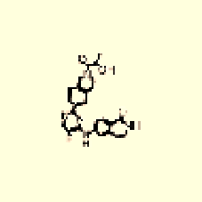 CC(O)C(=O)N1CCc2cc(-c3ncc(F)c(Nc4ccc5c(=O)[nH]ccc5c4)n3)ccc2C1